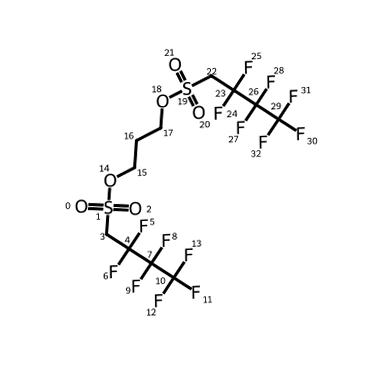 O=S(=O)(CC(F)(F)C(F)(F)C(F)(F)F)OCCCOS(=O)(=O)CC(F)(F)C(F)(F)C(F)(F)F